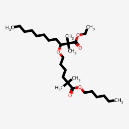 CCCCCCCCC(OCCCCC(C)(C)C(=O)OCCCCCC)C(C)(C)C(=O)OCC